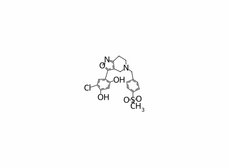 CS(=O)(=O)c1ccc(CN2CCc3noc(-c4cc(Cl)c(O)cc4O)c3C2)cc1